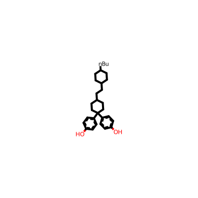 CCCCC1CCC(CCC2CCC(c3ccc(O)cc3)(c3ccc(O)cc3)CC2)CC1